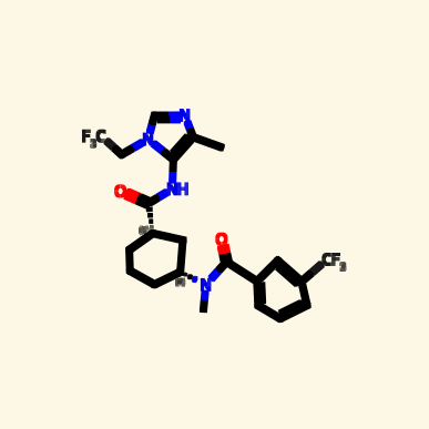 Cc1ncn(CC(F)(F)F)c1NC(=O)[C@H]1CCC[C@@H](N(C)C(=O)c2cccc(C(F)(F)F)c2)C1